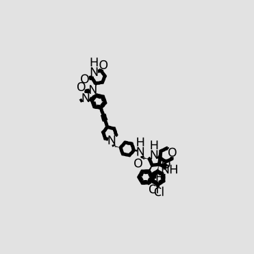 Cn1c(=O)n(C2CCC(=O)NC2=O)c2ccc(C#CC3CCN(C[C@H]4CC[C@H](NC(=O)[C@@H]5NC6(CCOCC6)[C@@]6(C(=O)Nc7cc(Cl)ccc76)[C@H]5c5cccc(Cl)c5F)CC4)CC3)cc21